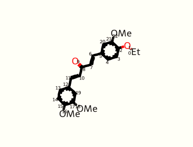 CCOc1ccc(/C=C/C(=O)/C=C/c2ccc(OC)c(OC)c2)cc1OC